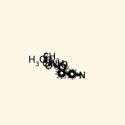 CC(C)(C)OC(=O)NCC1COCc2c(-c3ccc(C#N)cc3)cccc21